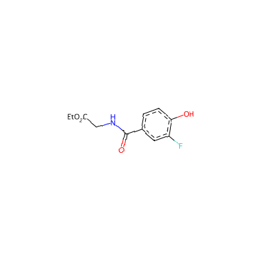 CCOC(=O)CNC(=O)c1ccc(O)c(F)c1